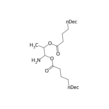 CCCCCCCCCCCCCC(=O)OC(C)C(N)OC(=O)CCCCCCCCCCCCC